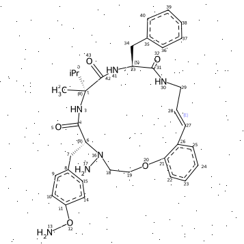 CC(C)[C@@]1(C)NC(=O)[C@@H](Cc2ccc(ON)cc2)N(N)CCOc2ccccc2/C=C/CNC(=O)[C@H](Cc2ccccc2)NC1=O